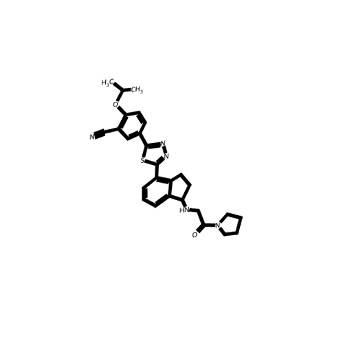 CC(C)Oc1ccc(-c2nnc(-c3cccc4c3CCC4NCC(=O)N3CCCC3)s2)cc1C#N